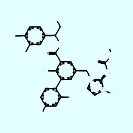 Cn1ccn(Cc2cc(C(=O)NC(CC(=O)O)c3ccc(Cl)c(Cl)c3)c(F)c(-c3ccc(F)cc3C(F)(F)F)c2)/c1=N\C(=O)OC(C)(C)C